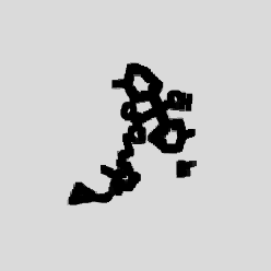 Cc1cccc(C(O)(C(=O)OCCCn2cc[n+](CC3CC3)c2C)c2cccc(C)c2)c1.[Br-]